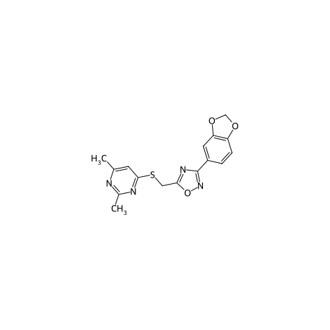 Cc1cc(SCc2nc(-c3ccc4c(c3)OCO4)no2)nc(C)n1